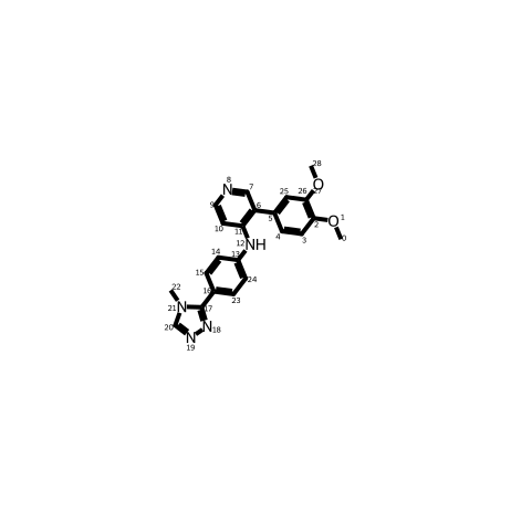 COc1ccc(-c2cnccc2Nc2ccc(-c3nncn3C)cc2)cc1OC